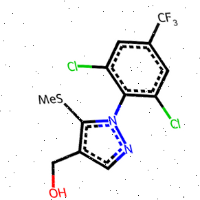 CSc1c(CO)cnn1-c1c(Cl)cc(C(F)(F)F)cc1Cl